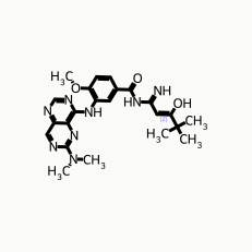 COc1ccc(C(=O)NC(=N)/C=C(\O)C(C)(C)C)cc1Nc1ncnc2cnc(N(C)C)nc12